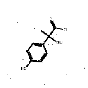 CC(C)(C)C(C)(C(=O)Cl)c1ccc(O)cc1